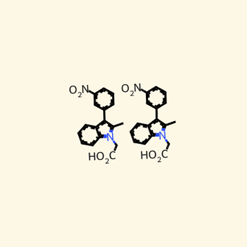 Cc1c(-c2cccc([N+](=O)[O-])c2)c2ccccc2n1CC(=O)O.Cc1c(-c2cccc([N+](=O)[O-])c2)c2ccccc2n1CC(=O)O